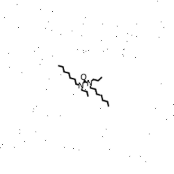 CCCCCCCN(CCC)C(=O)N(CCC)CCCCCCC